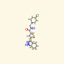 O=C(NCc1ccc(Cl)cc1)c1csc(-c2n[nH]c3ccccc23)c1